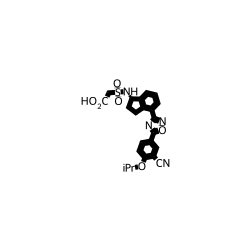 CC(C)Oc1ccc(-c2nc(-c3cccc4c3CC[C@H]4NS(=O)(=O)CC(=O)O)no2)cc1C#N